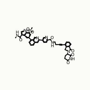 CNC(=O)c1c[nH]c2c(S(C)(=O)=O)cc(-c3cccc4cc(-c5ccc(C(=O)NCCC#Cc6cccc7c6CN(C6CCC(=O)NC6=O)C7=O)nc5)ncc34)cc12